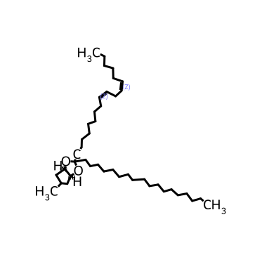 CCCCC/C=C\C/C=C\CCCCCCCCC1(CCCCCCCCCCCCCCCCCC)O[C@H]2CC(C)C[C@H]2O1